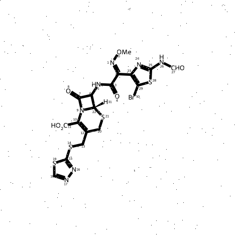 CON=C(C(=O)NC1C(=O)N2C(C(=O)O)=C(CSc3nncs3)CS[C@@H]12)c1nc(NC=O)sc1Br